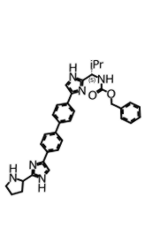 CC(C)[C@H](NC(=O)OCc1ccccc1)c1nc(-c2ccc(-c3ccc(-c4c[nH]c(C5CCCN5)n4)cc3)cc2)c[nH]1